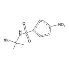 CC(C)(C)S(C)(C)NS(=O)(=O)c1ccc([N+](=O)[O-])cc1